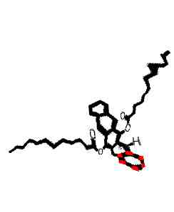 CCCCCCCCCCCC(=O)Oc1c2c(c(OC(=O)CCCCCCCCCCC)c3cc4ccccc4cc13)[C@@H]1C3=C(C=CCC3)C2c2ccccc21